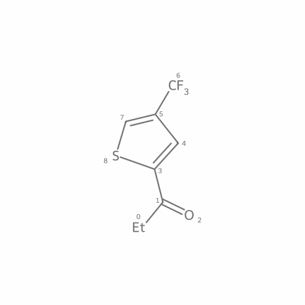 CCC(=O)c1cc(C(F)(F)F)cs1